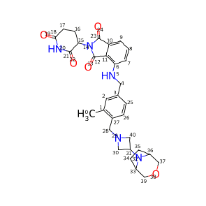 Cc1cc(CNc2cccc3c2C(=O)N(C2CCC(=O)NC2=O)C3=O)ccc1CN1CC(N2C3CCC2COC3)C1